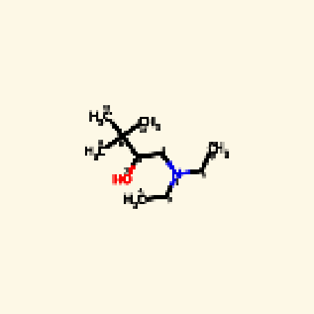 CCN(CC)CC(O)C(C)(C)C